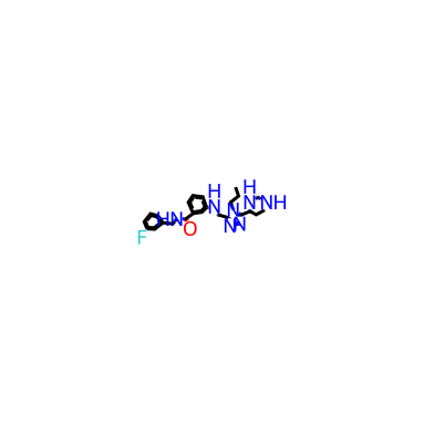 CCCn1c(CNc2cccc(C(=O)NCc3cccc(F)c3)c2)nnc1C1CCNCN1